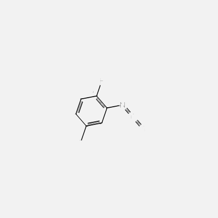 Cc1ccc(F)c(N=C=S)c1